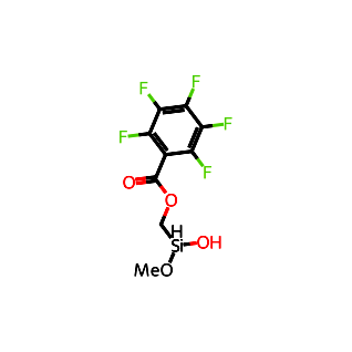 CO[SiH](O)COC(=O)c1c(F)c(F)c(F)c(F)c1F